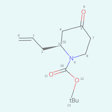 C=CC[C@H]1CC(=O)CCN1C(=O)OC(C)(C)C